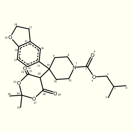 CC(C)COC(=O)N1CCC(c2ccc3c(c2)CCO3)(C2C(=O)OC(C)(C)OC2=O)CC1